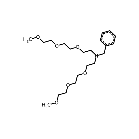 COCCOCCOCCN(CCOCCOCCOC)Cc1ccccc1